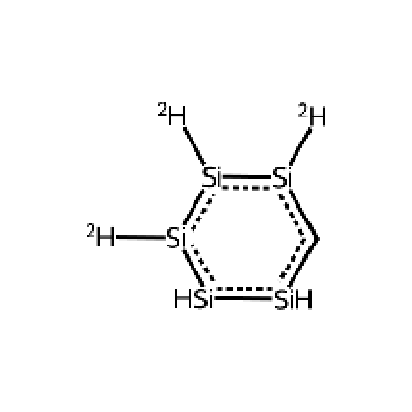 [2H][si]1c[siH][siH][si]([2H])[si]1[2H]